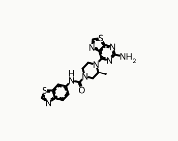 C[C@H]1CN(C(=O)Nc2ccc3ncsc3c2)CCN1c1nc(N)nc2scnc12